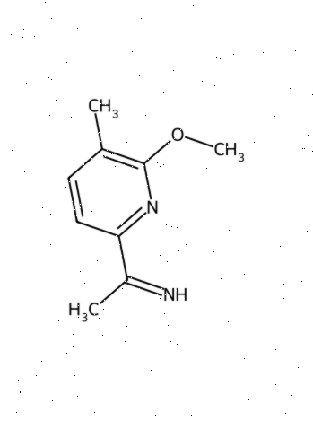 COc1nc(C(C)=N)ccc1C